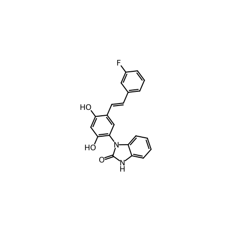 O=c1[nH]c2ccccc2n1-c1cc(C=Cc2cccc(F)c2)c(O)cc1O